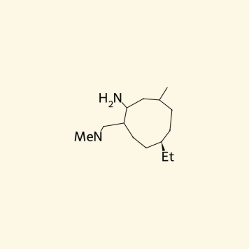 CC[C@@H]1CCC(C)CC(N)C(CNC)CC1